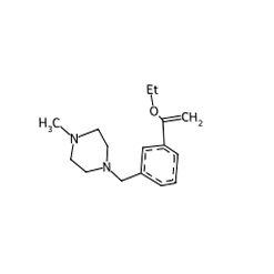 C=C(OCC)c1cccc(CN2CCN(C)CC2)c1